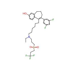 CCN(CCCCCCC1=C(c2cc(F)cc(F)c2)CCCc2cc(O)ccc21)CCCS(=O)(=O)CCC(F)(F)F